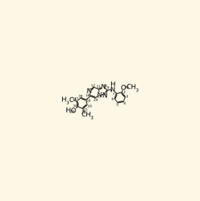 COc1ccccc1Nc1nc2cnc(-c3cc(C)c(O)c(C)c3)cn2n1